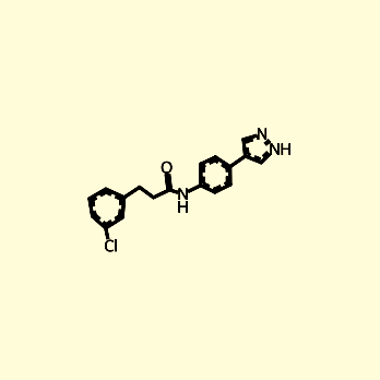 O=C(CCc1cccc(Cl)c1)Nc1ccc(-c2cn[nH]c2)cc1